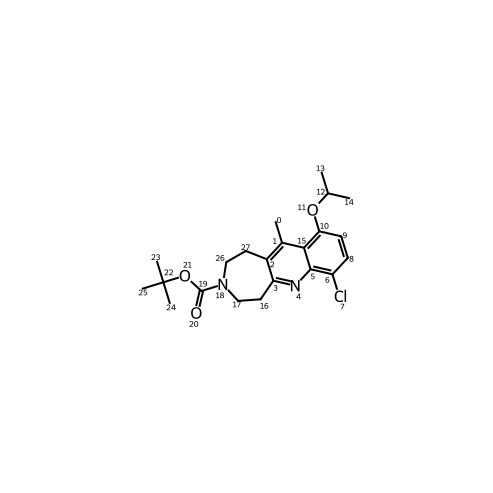 Cc1c2c(nc3c(Cl)ccc(OC(C)C)c13)CCN(C(=O)OC(C)(C)C)CC2